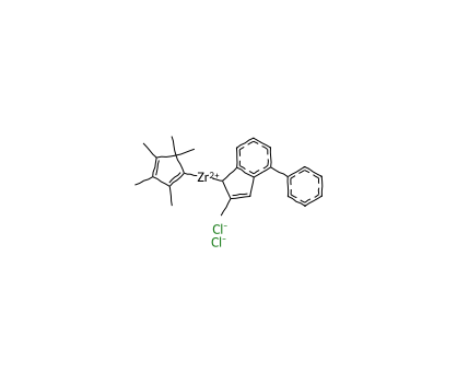 CC1=Cc2c(-c3ccccc3)cccc2[CH]1[Zr+2][C]1=C(C)C(C)=C(C)C1(C)C.[Cl-].[Cl-]